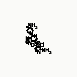 CC1(N)CCN(c2ncc(S(=O)(=O)c3ccnc(N)c3Cl)c3nonc23)CC1